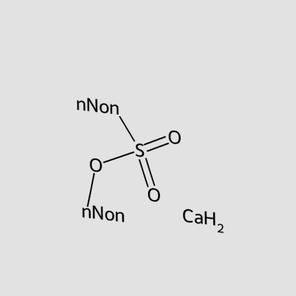 CCCCCCCCCOS(=O)(=O)CCCCCCCCC.[CaH2]